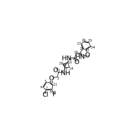 O=C(COc1ccc(Cl)c(F)c1)NC12CC(NC(=O)CC3NOc4ccccc43)(C1)C2